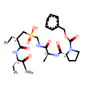 CNC(=O)[C@H](CC(C)C)NC(=O)[C@H](CC(C)C)CP(=O)(O)CNC(=O)[C@H](C)NC(=O)[C@H]1CCCN1C(=O)OCc1ccccc1